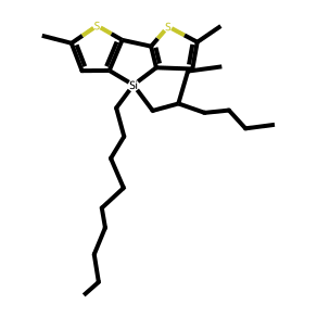 CCCCCCCCC[Si]1(CC(CC)CCCC)c2cc(C)sc2-c2sc(C)cc21